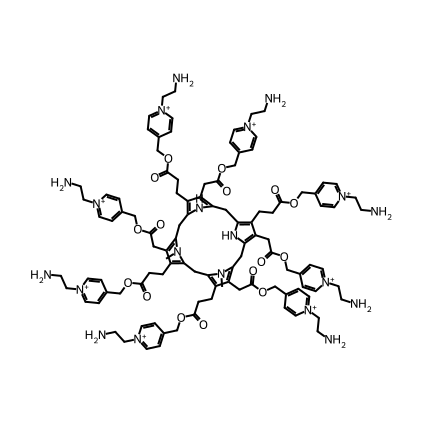 Cn1c2c(CC(=O)OCc3cc[n+](CCN)cc3)c(CCC(=O)OCc3cc[n+](CCN)cc3)c1Cc1c(CCC(=O)OCc3cc[n+](CCN)cc3)c(CC(=O)OCc3cc[n+](CCN)cc3)c(n1C)Cc1[nH]c(c(CCC(=O)OCc3cc[n+](CCN)cc3)c1CC(=O)OCc1cc[n+](CCN)cc1)Cc1[nH]c(c(CCC(=O)OCc3cc[n+](CCN)cc3)c1CC(=O)OCc1cc[n+](CCN)cc1)C2